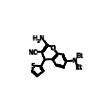 CCN(CC)c1ccc2c(c1)OC(N)=C(C#N)C2c1cccs1